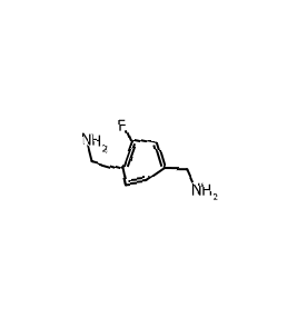 NCc1ccc(CN)c(F)c1